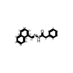 O=C(Cc1ccccc1)NN=Cc1cccc2ccccc12